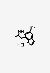 CC(N)Cc1cc(C(C)C)cc2ccoc12.Cl